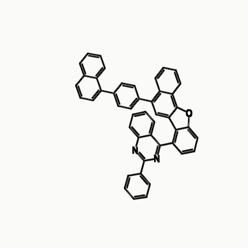 c1ccc(-c2nc(-c3cccc4oc5c6ccccc6c(-c6ccc(-c7cccc8ccccc78)cc6)cc5c34)c3ccccc3n2)cc1